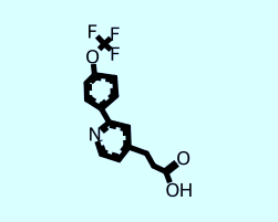 O=C(O)CCc1ccnc(-c2ccc(OC(F)(F)F)cc2)c1